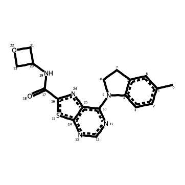 Cc1ccc2c(c1)CCN2c1ncnc2sc(C(=O)NC3COC3)nc12